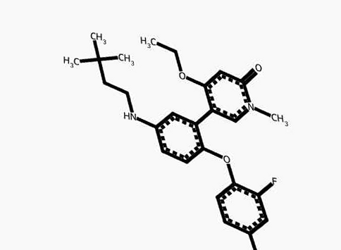 CCOc1cc(=O)n(C)cc1-c1cc(NCCC(C)(C)C)ccc1Oc1ccc(F)cc1F